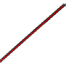 COCCOCCOCCOCCOCCOCCOCCOCCOCCOCCOCCOCCOCCOCCOCCOCCOCCOCCOCCOCCOCCOCCOCCOCCOCCOCCOCCOCCOCCOCCOCCOCCOCCOCCOCCOCCOCCOCCOCCOCCOCCOCCOCCOCCOCCOCCOCCOCCN